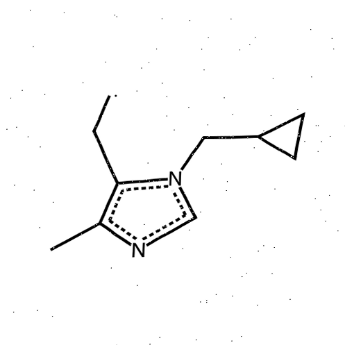 [CH2]Cc1c(C)ncn1CC1CC1